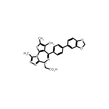 Cc1sc2c(c1C)C(c1ccc(-c3ccc4c(c3)OCO4)cc1)=N[C@@H](CC(=O)O)c1nnc(C)n1-2